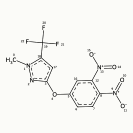 Cn1nc(Oc2ccc([N+](=O)[O-])c([N+](=O)[O-])c2)cc1C(F)(F)F